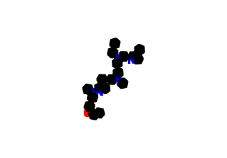 c1ccc(-c2cccc(-n3c4ccc(-c5ccc6c(c5)c5cc(-c7cccc8c7-c7cccc9nc(-n%10c%11ccccc%11c%11cc(-c%12ccc%13oc%14ccc%15ccccc%15c%14c%13c%12)ccc%11%10)cc-8c79)ccc5n6-c5ccccc5)cc4c4cc(-c5cc6c7c(cccc7n5)-c5ccccc5-6)ccc43)c2)cc1